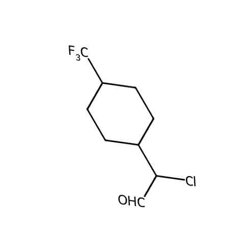 O=CC(Cl)C1CCC(C(F)(F)F)CC1